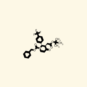 CC(C)(C)OC(=O)C[C@H]1C(=O)C=CN(C(=O)OCc2ccccc2)[C@@H]1c1ccc(C(F)(F)F)cc1